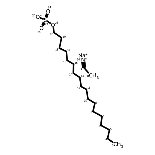 CC#N.CCCCCCCCCCCCCCCCCCOS(=O)(=O)[O-].[Na+]